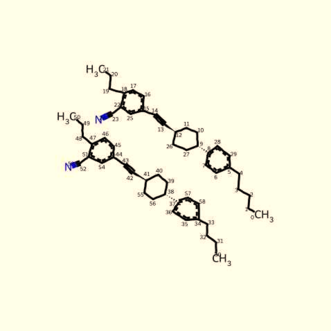 CCCCCc1ccc([C@H]2CC[C@H](C#Cc3ccc(CCC)c(C#N)c3)CC2)cc1.CCCCc1ccc([C@H]2CC[C@H](C#Cc3ccc(CCC)c(C#N)c3)CC2)cc1